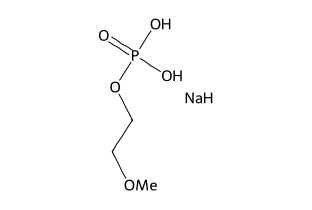 COCCOP(=O)(O)O.[NaH]